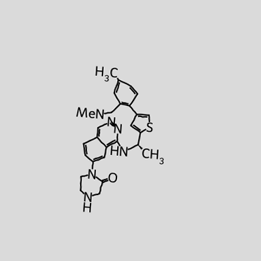 CNCc1cc(C)ccc1-c1csc([C@@H](C)Nc2nncc3ccc(N4CCNCC4=O)cc23)c1